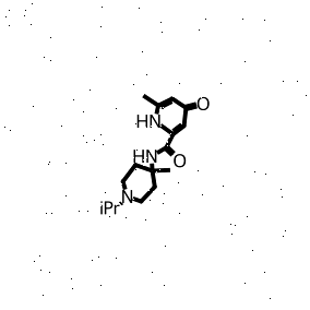 Cc1cc(=O)cc(C(=O)NC2(C)CCN(C(C)C)CC2)[nH]1